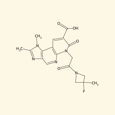 Cc1nc2cnc3c(cc(C(=O)O)c(=O)n3CC(=O)N3CC(C)(F)C3)c2n1C